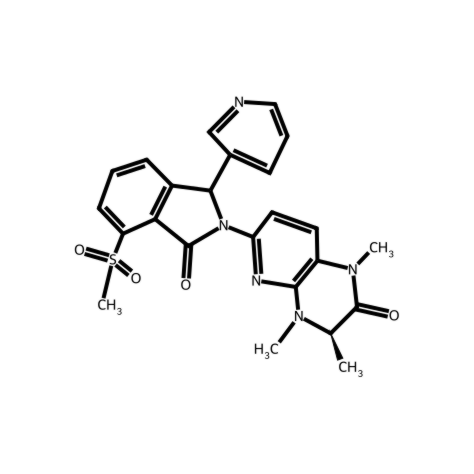 C[C@@H]1C(=O)N(C)c2ccc(N3C(=O)c4c(cccc4S(C)(=O)=O)C3c3cccnc3)nc2N1C